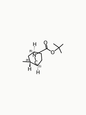 C[C@@H]1C[C@H]2CC[C@@H]1CN2C(=O)OC(C)(C)C